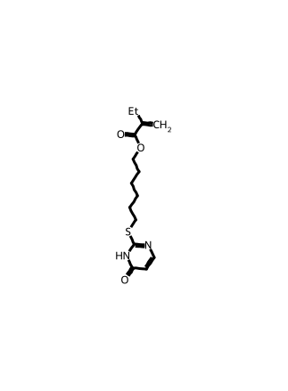 C=C(CC)C(=O)OCCCCCCSc1nccc(=O)[nH]1